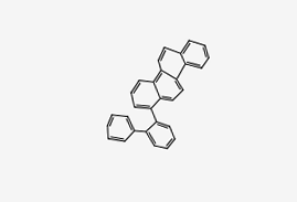 c1ccc(-c2ccccc2-c2cccc3c2ccc2c4ccccc4ccc32)cc1